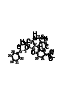 CO[C@H](COC(=O)C1=C(C)Nc2snc(C)c2C1c1cccc([N+](=O)[O-])c1)c1ccccc1